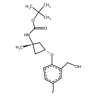 CC(C)(C)OC(=O)N[C@]1(C)C[C@H](Oc2ccc(F)cc2CO)C1